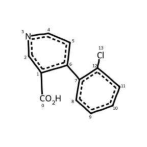 O=C(O)c1cnccc1-c1ccccc1Cl